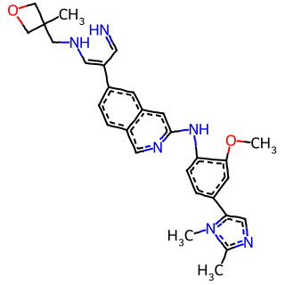 COc1cc(-c2cnc(C)n2C)ccc1Nc1cc2cc(/C(C=N)=C/NCC3(C)COC3)ccc2cn1